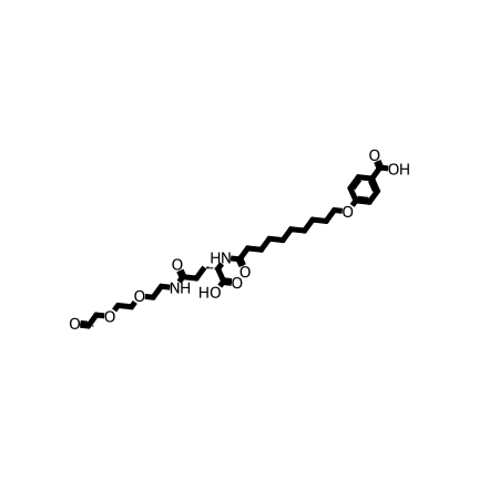 O=[C]COCCOCCNC(=O)CC[C@H](NC(=O)CCCCCCCCCOc1ccc(C(=O)O)cc1)C(=O)O